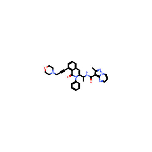 Cc1nn2cccnc2c1C(=O)NC(C)c1cc2cccc(C#CCN3CCOCC3)c2c(=O)n1-c1ccccc1